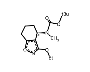 CCOc1noc2c1[C@H](N(C)C(=O)OC(C)(C)C)CCC2